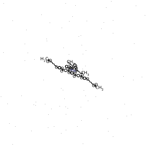 C=CC(=O)OCCCCCCOc1ccc(OC(=O)C2CCC(C(=O)Oc3ccc(OC(=O)C4CCC(C(=O)Oc5ccc(OCCCCCCOC(=O)C=C)cc5)CC4)c(/C=N/N(CCCCCC)c4nc5ccccc5s4)c3/C=N/N(CCCCCC)c3nc4ccccc4s3)CC2)cc1